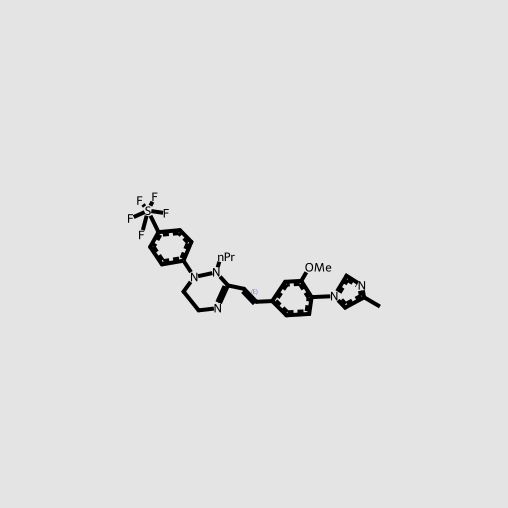 CCCN1C(/C=C/c2ccc(-n3cnc(C)c3)c(OC)c2)=NCCN1c1ccc(S(F)(F)(F)(F)F)cc1